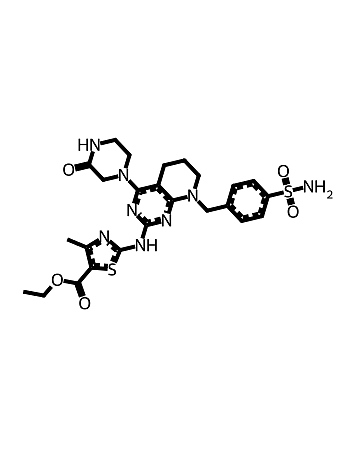 CCOC(=O)c1sc(Nc2nc(N3CCNC(=O)C3)c3c(n2)N(Cc2ccc(S(N)(=O)=O)cc2)CCC3)nc1C